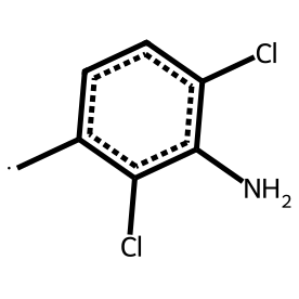 [CH2]c1ccc(Cl)c(N)c1Cl